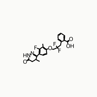 Cc1c(OCC(F)(F)Cc2ccccc2C(=O)O)ccc(C2=NNC(=O)CC2C)c1F